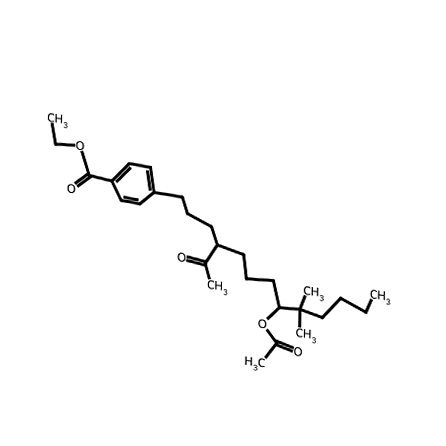 CCCCC(C)(C)C(CCCC(CCCc1ccc(C(=O)OCC)cc1)C(C)=O)OC(C)=O